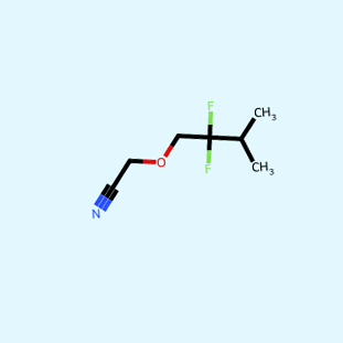 CC(C)C(F)(F)COCC#N